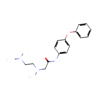 CN(C)CCN(C)CC(=O)Nc1ccc(Oc2ccccc2)cc1